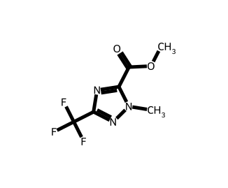 COC(=O)c1nc(C(F)(F)F)nn1C